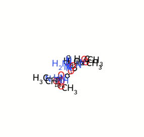 CCOC(=O)C1(C(=O)N[C@@H](CCCCCN(C)C)C(=O)Nc2ccc(COc3ccccc3-c3cc(N4CC5CCC(C4)N5c4ccnc(OCCN5CCN(C(=O)OC(C)(C)C)C[C@H]5C)c4)c(N)nn3)cc2)CCC1